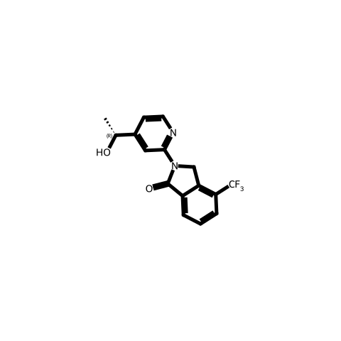 C[C@@H](O)c1ccnc(N2Cc3c(cccc3C(F)(F)F)C2=O)c1